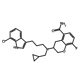 NC(=O)c1ccc(F)c2c1CC(N(CCCc1c[nH]c3c(Cl)cccc13)CC1CC1)CO2